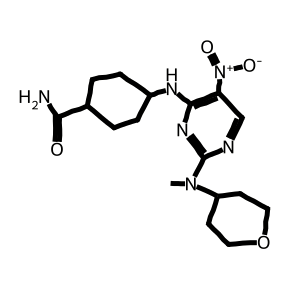 CN(c1ncc([N+](=O)[O-])c(NC2CCC(C(N)=O)CC2)n1)C1CCOCC1